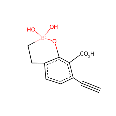 C#Cc1ccc2c(c1C(=O)O)O[B-](O)(O)CC2